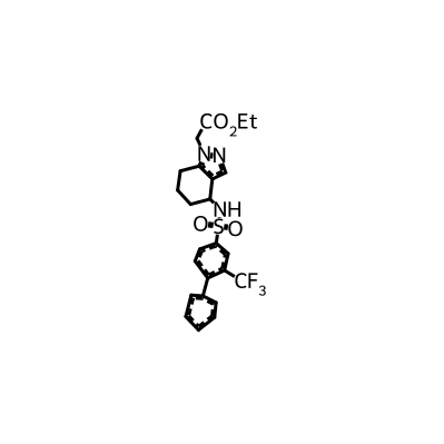 CCOC(=O)Cn1ncc2c1CCCC2NS(=O)(=O)c1ccc(-c2ccccc2)c(C(F)(F)F)c1